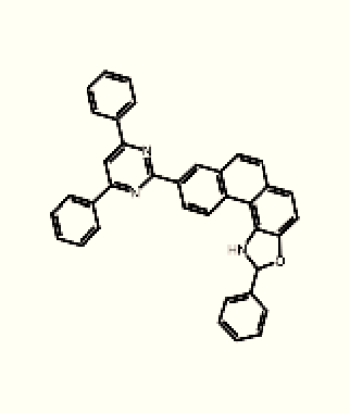 c1ccc(-c2cc(-c3ccccc3)nc(-c3ccc4c(ccc5ccc6c(c54)NC(c4ccccc4)O6)c3)n2)cc1